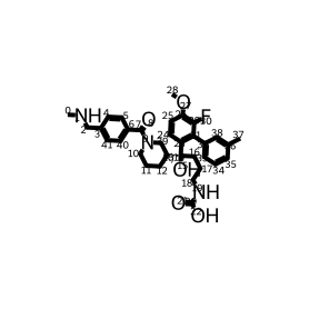 CNCc1ccc(C(=O)N2CCC[C@@H](C(O)(CCCNC(=O)O)c3ccc(OC)c(F)c3-c3cccc(C)c3)C2)cc1